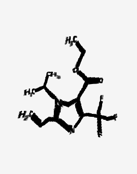 C=Cc1nc(C(F)(F)F)c(C(=O)OCC)n1C(C)C